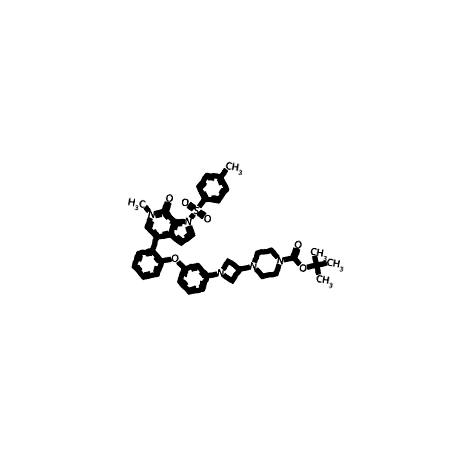 Cc1ccc(S(=O)(=O)n2ccc3c(-c4ccccc4Oc4cccc(N5CC(N6CCN(C(=O)OC(C)(C)C)CC6)C5)c4)cn(C)c(=O)c32)cc1